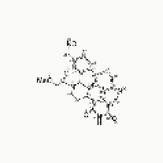 COCC(=O)N1CCC(n2c(=O)[nH]c(=O)c3cnc4ccc(-c5cnc(CN=O)nc5)nc4c32)CC1